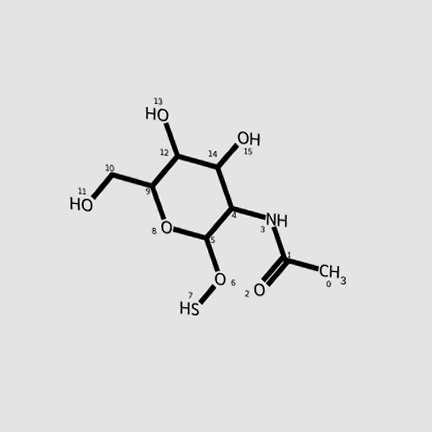 CC(=O)NC1C(OS)OC(CO)C(O)C1O